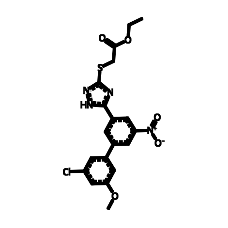 CCOC(=O)CSc1n[nH]c(-c2cc(-c3cc(Cl)cc(OC)c3)cc([N+](=O)[O-])c2)n1